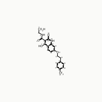 O=C(O)CNC(=O)c1c(O)c2ccc(OCCc3ccc(C(F)(F)F)cc3)cc2[nH]c1=O